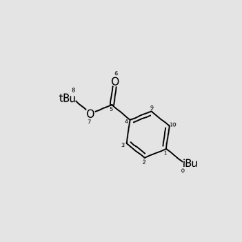 CCC(C)c1ccc(C(=O)OC(C)(C)C)cc1